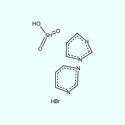 Br.O=[SH](=O)O.c1cncnc1.c1cncnc1